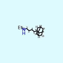 CCNCCCCC12CC3CC(CC(C3)C1)C2